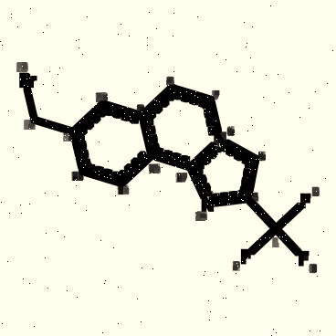 FC(F)(F)c1cn2ccc3cc(CBr)ccc3c2n1